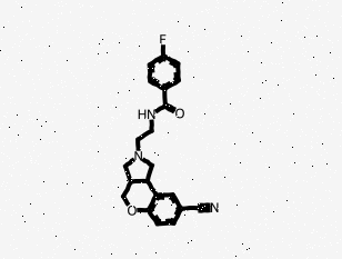 N#Cc1ccc2c(c1)C1CN(CCNC(=O)c3ccc(F)cc3)CC1CO2